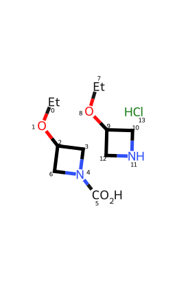 CCOC1CN(C(=O)O)C1.CCOC1CNC1.Cl